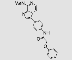 CNc1nccn2c(-c3ccc(NC(=O)COc4ccccc4)cc3)cnc12